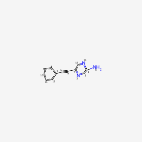 Nc1cnc(C#Cc2ccccc2)cn1